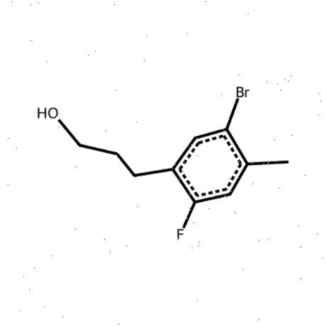 Cc1cc(F)c(CCCO)cc1Br